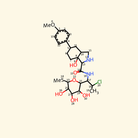 COc1ccc(C2CCC3(O)C(CNC3C(=O)NC(C(C)Cl)C3OC(SC)C(O)C(O)C3O)C2)cc1